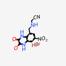 Br.N#CCNCc1cc([N+](=O)[O-])cc2[nH]c(=O)c(=O)[nH]c12